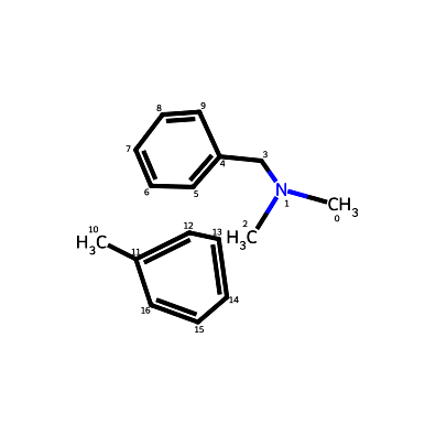 CN(C)Cc1ccccc1.Cc1ccccc1